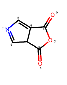 O=C1OC(=O)C2C=NC=C12